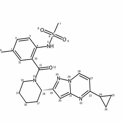 Cc1ccc(NS(C)(=O)=O)c(C(=O)N2CCCC[C@H]2c2cc3nc(C4CC4)ccn3n2)c1